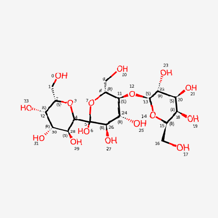 OC[C@@H]1OC(C2(O)O[C@H](CO)[C@@H](O[C@@H]3O[C@H](CO)[C@H](O)[C@H](O)[C@H]3O)[C@H](O)[C@H]2O)[C@@H](O)[C@H](O)[C@@H]1O